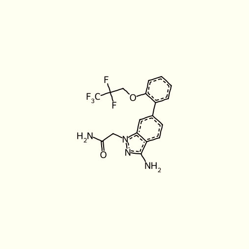 NC(=O)Cn1nc(N)c2ccc(-c3ccccc3OCC(F)(F)C(F)(F)F)cc21